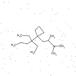 CCCC(CC)(CC)C1(CC(C)N(C)C)CCC1